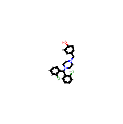 Oc1ccc(CN2CCN(C(c3ccccc3Cl)c3ccccc3Cl)CC2)cc1